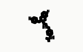 CC(C)Nc1ccc(CNCCN2Cc3cc(F)ccc3CC2Cc2ccc(F)cc2)cc1